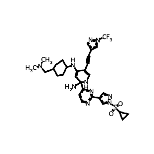 CN(C)CC1CCC(NC2=CC(N)(c3ccnc(-c4cnn(S(=O)(=O)C5CC5)c4)n3)NC=C2C#Cc2cnn(C(F)(F)F)c2)CC1